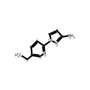 CCc1ccc(-n2ccc(N)n2)nc1